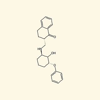 O=C1c2ccccc2CC[C@H]1CN[C@@H]1CCC[C@@H](Oc2ccccc2)C1O